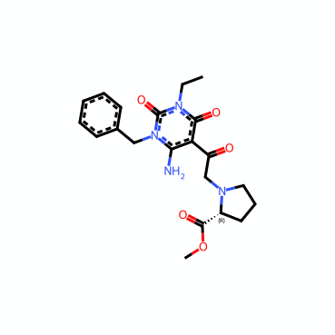 CCn1c(=O)c(C(=O)CN2CCC[C@@H]2C(=O)OC)c(N)n(Cc2ccccc2)c1=O